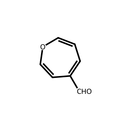 O=CC1=CC=COC=C1